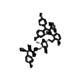 CC[C@@H](NC(=O)OC[C@H]1NC[C@@H](CCc2c(F)cccc2N[C@H](C(N)=O)C(c2ccc(F)cc2)c2ccc(F)cc2)O[C@H]1C)c1ccc(F)cc1